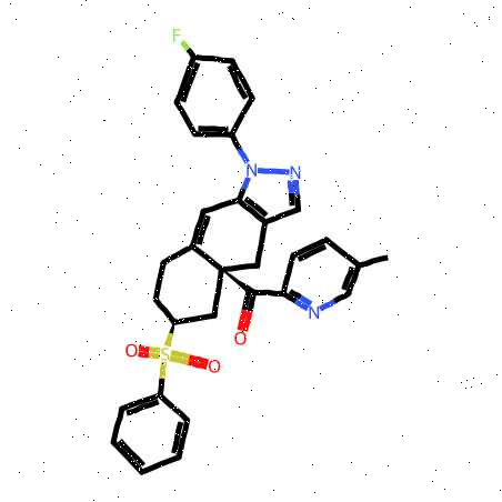 Cc1ccc(C(=O)[C@]23Cc4cnn(-c5ccc(F)cc5)c4C=C2CC[C@H](S(=O)(=O)c2ccccc2)C3)nc1